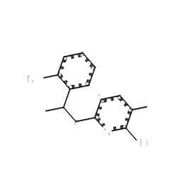 CC(C)c1nc(CC(C)c2ccccc2C#N)ccc1F